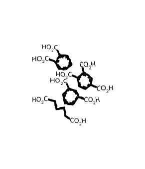 O=C(O)CCCCC(=O)O.O=C(O)c1ccc(C(=O)O)c(C(=O)O)c1.O=C(O)c1cccc(C(=O)O)c1.O=C(O)c1ccccc1C(=O)O